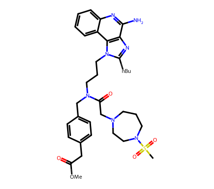 CCCCc1nc2c(N)nc3ccccc3c2n1CCCN(Cc1ccc(CC(=O)OC)cc1)C(=O)CN1CCCN(S(C)(=O)=O)CC1